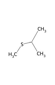 CS[C](C)C